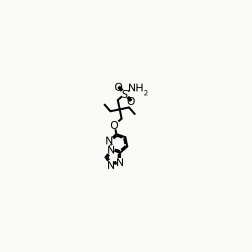 CCC(CC)(COc1ccc2nncn2n1)CS(N)(=O)=O